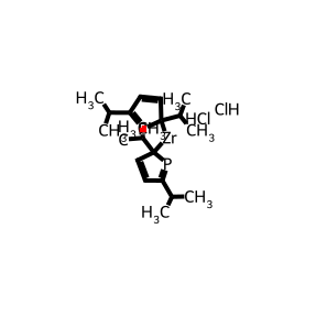 CC(C)C1=P[C]([Zr][C]2(C(C)C)C=CC(C(C)C)=P2)(C(C)C)C=C1.Cl.Cl